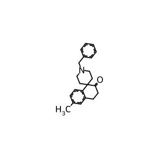 Cc1ccc2c(c1)CCC(=O)C21CCN(Cc2ccccc2)CC1